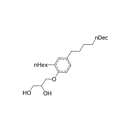 CCCCCCCCCCCCCCc1ccc(OCC(O)CO)c(CCCCCC)c1